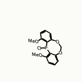 COc1cccc2c1P(Cl)c1c(OC)cccc1OCO2